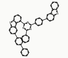 c1ccc(-c2ccc(-c3ccc4sc5cccc(-c6nc(-c7ccccc7)nc(-c7ccc(-c8ccc9sc%10ccccc%10c9c8)cc7)n6)c5c4c3)cc2)cc1